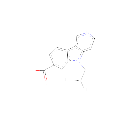 CC(C)Cn1c2ccncc2c2ccc(C(=O)O)cc21